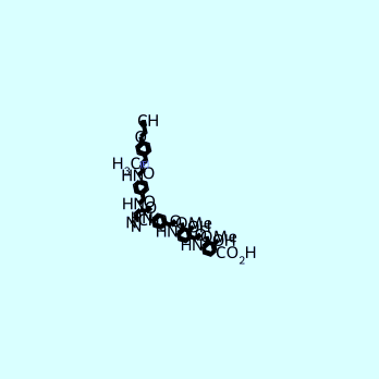 C#CCOc1ccc(/C=C(\C)C(=O)Nc2ccc(C(=O)NC(CC3(C)N=N3)C(=O)Nc3ccc(C(=O)Nc4ccc(C(=O)Nc5ccc(C(=O)O)c(O)c5OC)c(O)c4OC)cc3)cc2)cc1